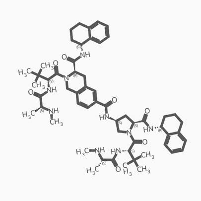 CN[C@@H](C)C(=O)N[C@H](C(=O)N1Cc2ccc(C(=O)N[C@H]3C[C@@H](C(=O)N[C@@H]4CCCc5ccccc54)N(C(=O)[C@@H](NC(=O)[C@H](C)NC)C(C)(C)C)C3)cc2C[C@@H]1C(=O)N[C@@H]1CCCc2ccccc21)C(C)(C)C